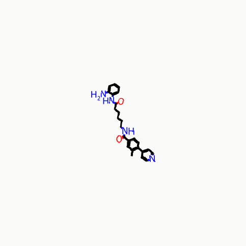 Cc1cc(C(=O)NCCCCCC(=O)Nc2ccccc2N)ccc1-c1ccncc1